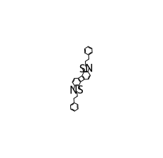 c1ccc(CCc2nc3ccc4c(c3s2)-c2ccc3nc(CCc5ccccc5)sc3c2-4)cc1